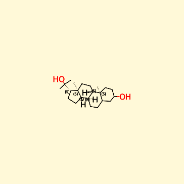 CC(C)(O)[C@H]1CC[C@H]2[C@@H]3CCC4CC(O)CC[C@]4(C)[C@H]3CC[C@]12C